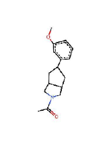 COc1cccc(C2CC3CN(C(C)=O)CC3C2)c1